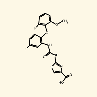 COc1cccc(F)c1Oc1ccc(F)cc1NC(=O)Nc1nc(C(=O)O)cs1